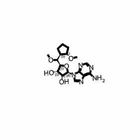 COC([C@H]1CCC[C@@H]1OC)[C@H]1O[C@@H](n2cnc3c(N)ncnc32)[C@H](O)[C@@H]1O